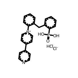 Cl.O=P(O)(O)c1ccccc1Cc1ccccc1-[n+]1ccc(-c2ccncc2)cc1.[Cl-]